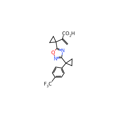 C=C(C(=O)O)C1(c2nc(C3(c4ccc(C(F)(F)F)cc4)CC3)no2)CC1